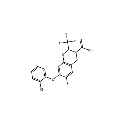 O=C(O)C1Cc2cc(Cl)c(Oc3ccccc3Cl)cc2OC1C(F)(F)F